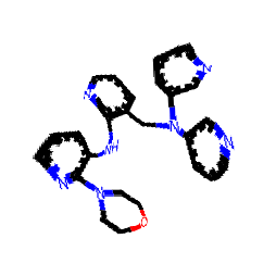 c1cncc(N(Cc2cccnc2Nc2cccnc2N2CCOCC2)c2cccnc2)c1